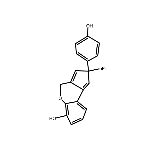 CCCC1(c2ccc(O)cc2)C=C2COc3c(O)cccc3C2=C1